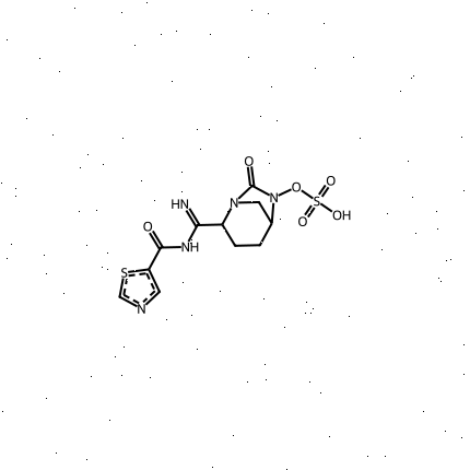 N=C(NC(=O)c1cncs1)C1CCC2CN1C(=O)N2OS(=O)(=O)O